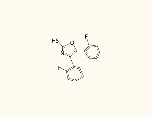 Fc1ccccc1-c1nc(S)oc1-c1ccccc1F